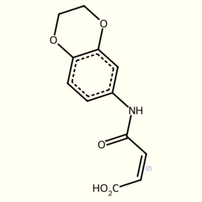 O=C(O)/C=C\C(=O)Nc1ccc2c(c1)OCCO2